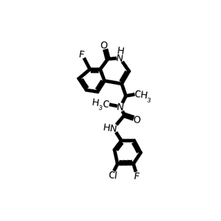 CC(c1c[nH]c(=O)c2c(F)cccc12)N(C)C(=O)Nc1ccc(F)c(Cl)c1